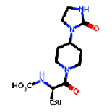 CC(C)(C)[C@@H](NC(=O)O)C(=O)N1CCC(N2CCNC2=O)CC1